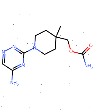 CC1(COC(N)=O)CCN(c2nncc(N)n2)CC1